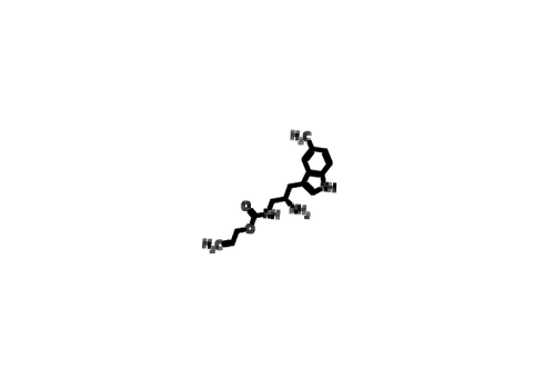 C=CCOC(=O)NC[C@H](N)Cc1c[nH]c2ccc(C)cc12